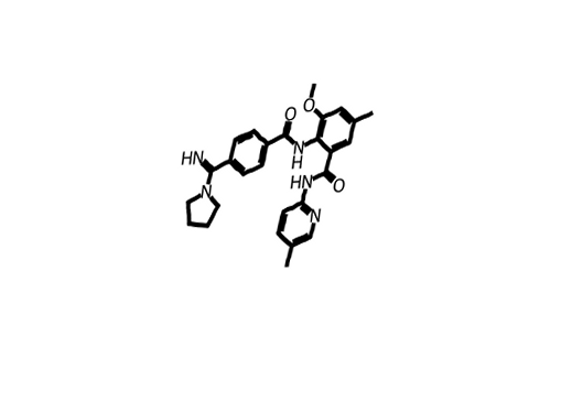 COc1cc(C)cc(C(=O)Nc2ccc(C)cn2)c1NC(=O)c1ccc(C(=N)N2CCCC2)cc1